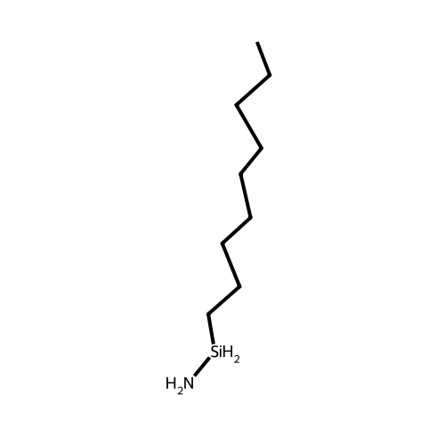 CCCCCCCCC[SiH2]N